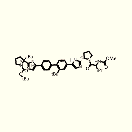 COC(=O)NC(C(=O)N1CCC[C@H]1c1ncc(-c2ccc(-c3ccc(-c4cnc([C@@]5(C(C)(C)C)CCCN5C(=O)OC(C)(C)C)[nH]4)cc3)c(C(C)(C)C)c2)[nH]1)C(C)C